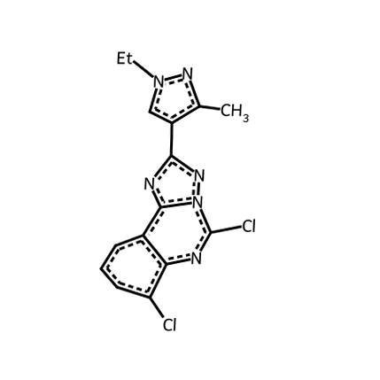 CCn1cc(-c2nc3c4cccc(Cl)c4nc(Cl)n3n2)c(C)n1